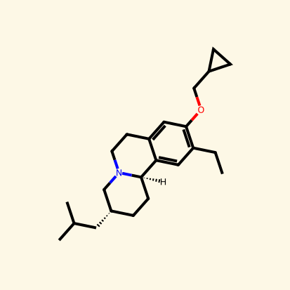 CCc1cc2c(cc1OCC1CC1)CCN1C[C@@H](CC(C)C)CC[C@H]21